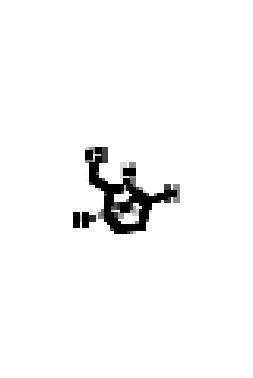 OCC1N[C@H]2CC[C@H]1CC2